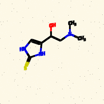 CN(C)CC(O)c1c[nH]c(=S)[nH]1